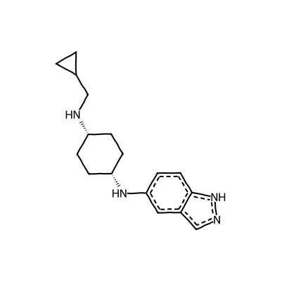 c1cc2[nH]ncc2cc1N[C@H]1CC[C@@H](NCC2CC2)CC1